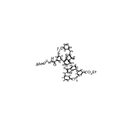 CCOC(=O)c1cc(F)cc(-c2cccc3c(F)c(Cc4cccc(C(F)(F)F)c4)sc23)c1.COCCNC(=O)c1cc(F)cc(-c2cccc3c(F)c(Cc4cccc(C(F)(F)F)c4)sc23)c1